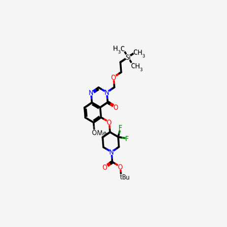 COc1ccc2ncn(COCC[Si](C)(C)C)c(=O)c2c1OC1CCN(C(=O)OC(C)(C)C)CC1(F)F